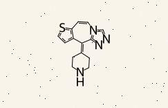 C1=Cn2cnnc2C(=C2CCNCC2)c2ccsc21